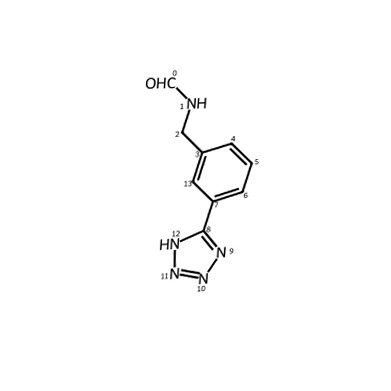 O=CNCc1cccc(-c2nnn[nH]2)c1